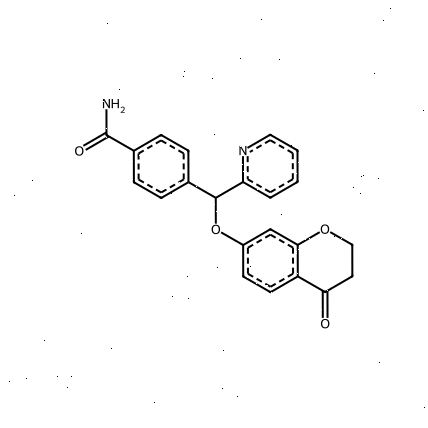 NC(=O)c1ccc(C(Oc2ccc3c(c2)OCCC3=O)c2ccccn2)cc1